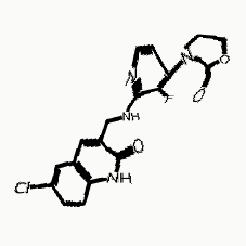 O=C1OCCN1c1ccnc(NCc2cc3cc(Cl)ccc3[nH]c2=O)c1F